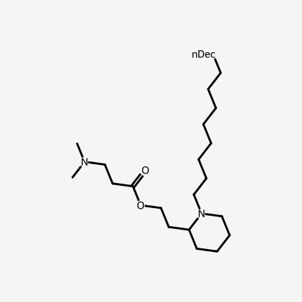 CCCCCCCCCCCCCCCCCCN1CCCCC1CCOC(=O)CCN(C)C